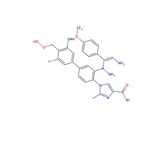 CSc1cc(-c2ccc(-n3cc(C(=O)C(C)C)nc3C)c(N(N)/C(=C\N)c3ccc(OC(F)(F)F)cc3)c2)cc(F)c1COO